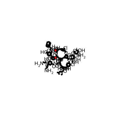 CC[C@H](CC(C)C)C(=O)N[C@H]1C(=O)C[C@@H](CC(=O)NC(=O)c2ccc(OCCN)c(OCCN)c2)C(=O)N[C@H]2C(=O)C[C@H]3C(=O)N[C@H](C(=O)N[C@H](C(=O)CC4C5CC6CC(C5)CC4C6)c4cc(O)cc(O)c4-c4cc3ccc4O)[C@H](O)c3ccc(c(Cl)c3)Oc3cc2cc(c3O[C@@H]2O[C@H](CO)[C@@H](O)[C@H](O)[C@H]2O[C@H]2C[C@](C)(N)[C@H](O)[C@H](C)O2)Oc2ccc(cc2Cl)[C@H]1O